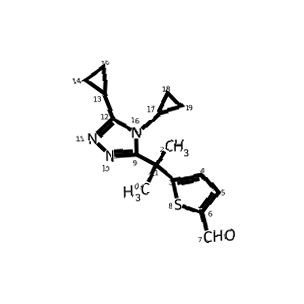 CC(C)(c1ccc(C=O)s1)c1nnc(C2CC2)n1C1CC1